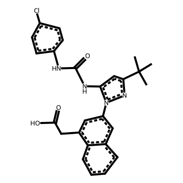 CC(C)(C)c1cc(NC(=O)Nc2ccc(Cl)cc2)n(-c2cc(CC(=O)O)c3ccccc3c2)n1